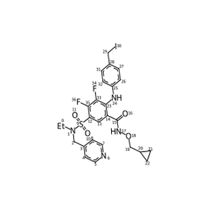 CCN(Cc1ccncc1)S(=O)(=O)c1cc(C(=O)NOCC2CC2)c(Nc2ccc(CI)cc2)c(F)c1F